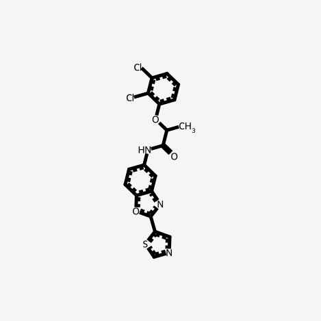 CC(Oc1cccc(Cl)c1Cl)C(=O)Nc1ccc2oc(-c3cncs3)nc2c1